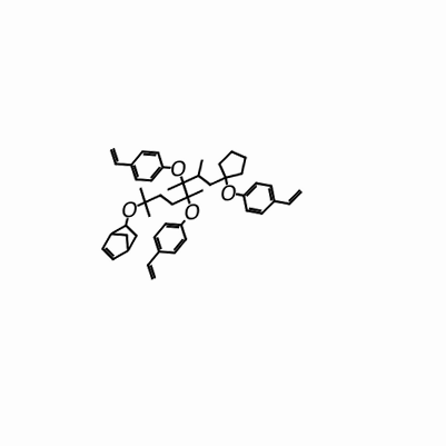 C=Cc1ccc(OC2(CC(C)C(C)(Oc3ccc(C=C)cc3)C(C)(CCC(C)(C)OC3CC4C=CC3C4)Oc3ccc(C=C)cc3)CCCC2)cc1